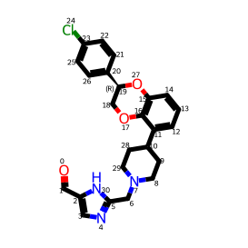 O=Cc1cnc(CN2CCC(c3cccc4c3OC[C@@H](c3ccc(Cl)cc3)O4)CC2)[nH]1